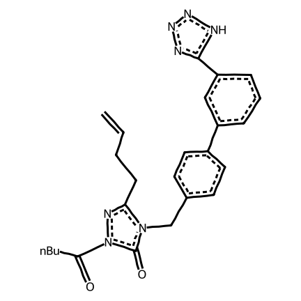 C=CCCc1nn(C(=O)CCCC)c(=O)n1Cc1ccc(-c2cccc(-c3nnn[nH]3)c2)cc1